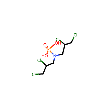 O=P(O)(O)N(CC(Cl)CCl)CC(Cl)CCl